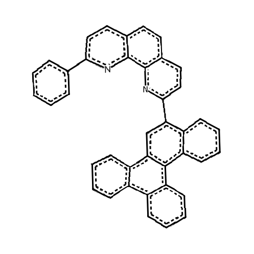 c1ccc(-c2ccc3ccc4ccc(-c5cc6c7ccccc7c7ccccc7c6c6ccccc56)nc4c3n2)cc1